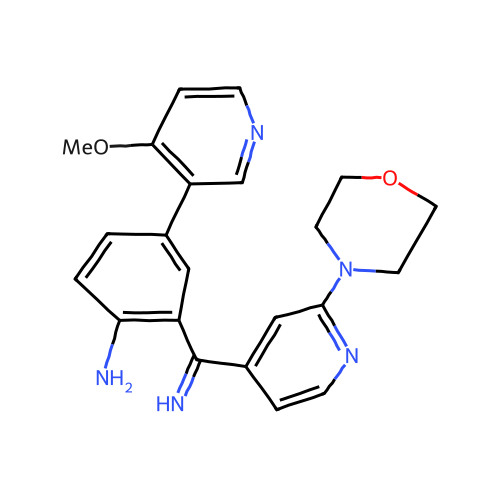 COc1ccncc1-c1ccc(N)c(C(=N)c2ccnc(N3CCOCC3)c2)c1